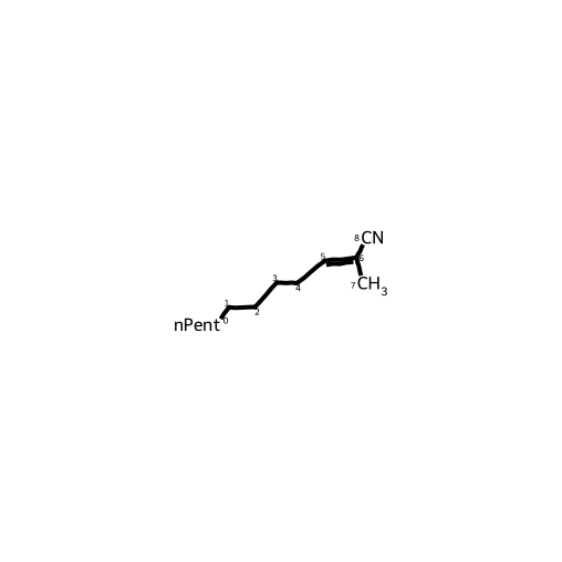 CCCCCCCCCC=C(C)C#N